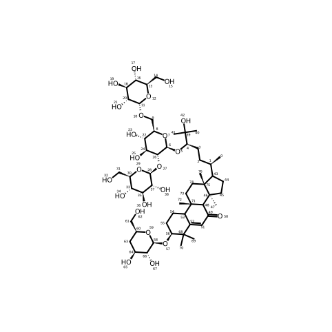 C[C@H](CC[C@@H](O[C@@H]1O[C@H](CO[C@H]2O[C@H](CO)[C@@H](O)[C@H](O)[C@H]2O)[C@@H](O)[C@H](O)[C@H]1O[C@@H]1O[C@H](CO)[C@@H](O)[C@H](O)[C@H]1O)C(C)(C)O)C1CC[C@@]2(C)C3C(=O)C=C4C(CC[C@H](O[C@@H]5O[C@H](CO)C[C@H](O)[C@H]5O)C4(C)C)[C@]3(C)CC[C@]12C